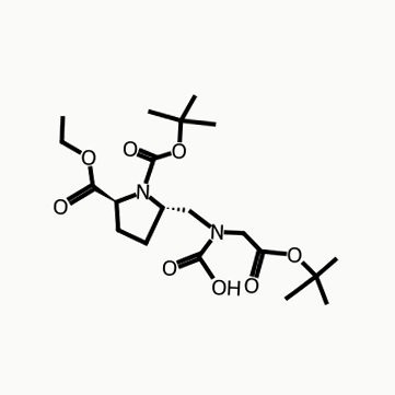 CCOC(=O)[C@@H]1CC[C@@H](CN(CC(=O)OC(C)(C)C)C(=O)O)N1C(=O)OC(C)(C)C